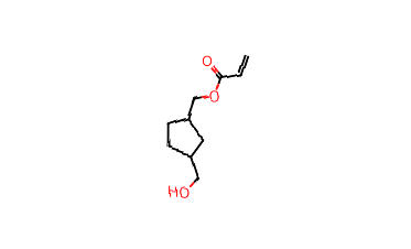 C=CC(=O)OCC1CCC(CO)C1